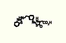 O=C(O)C[C@@H]1N/C(=N\c2cccc(CCNc3nc4ccccc4s3)c2)SC1=O